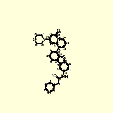 O=C(Cc1cccnc1)Nc1ccc2sc3c(-c4cccn5c(=O)cc(N6CCOCC6)nc45)cccc3c2c1